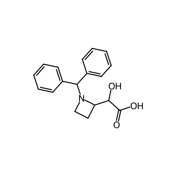 O=C(O)C(O)C1CCN1C(c1ccccc1)c1ccccc1